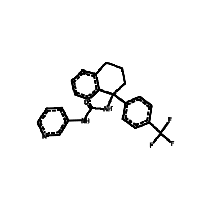 O=C(Nc1cccnc1)NC1(c2ccc(C(F)(F)F)cc2)CCCc2cccnc21